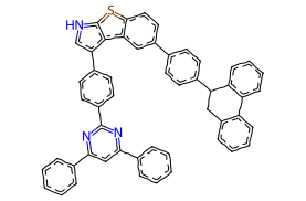 c1ccc(-c2cc(-c3ccccc3)nc(-c3ccc(-c4c[nH]c5sc6ccc(-c7ccc(C8Cc9ccccc9-c9ccccc98)cc7)cc6c45)cc3)n2)cc1